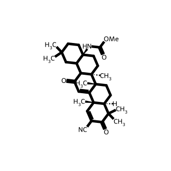 COC(=O)N[C@]12CCC(C)(C)CC1C1C(=O)C=C3[C@@]4(C)C=C(C#N)C(=O)C(C)(C)[C@@H]4CC[C@@]3(C)[C@]1(C)CC2